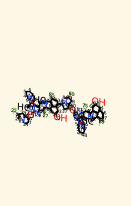 C#CCN1C2CCC1CN(c1nc(OC[C@@]34CCCN3C[C@H](F)C4)nc3c(F)c(-c4cc(O)cc5c(C6CC[C@@]7(COc8nc(N9CC%10CCC(C9)N%10CCC#N)c9cnc(-c%10cc(O)cc%11ccc(F)c(C#C)c%10%11)c(F)c9n8)C[C@@H](F)CN67)cc(F)c(C#C)c45)ncc13)C2